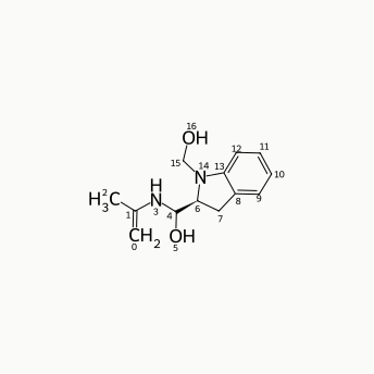 C=C(C)NC(O)[C@@H]1Cc2ccccc2N1CO